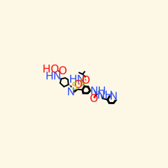 CC(C)(C)NS(=O)(=O)c1cc(NC(=O)NCc2cccnc2)ccc1-c1cnc([C@H]2CC[C@H](NC(=O)O)CC2)s1